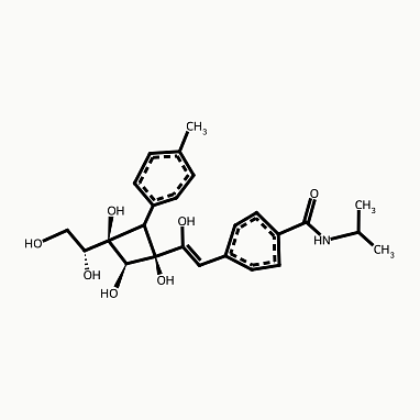 Cc1ccc(C2[C@@](O)([C@H](O)CO)[C@H](O)[C@@]2(O)C(O)=Cc2ccc(C(=O)NC(C)C)cc2)cc1